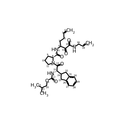 C=CCCC(NC(=O)[C@@H]1CCCN1C(=O)[C@@H](NC(=O)OCC(C)C)C1Cc2ccccc2C1)C(=O)C(=O)NCC=C